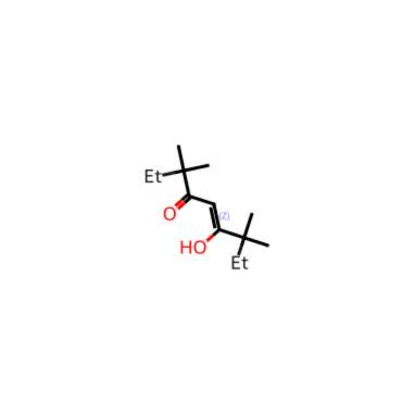 CCC(C)(C)C(=O)/C=C(\O)C(C)(C)CC